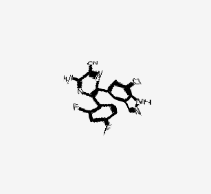 N#Cc1nc(-c2cc(Cl)c3[nH]ncc3c2)c(-c2ccc(F)cc2F)nc1N